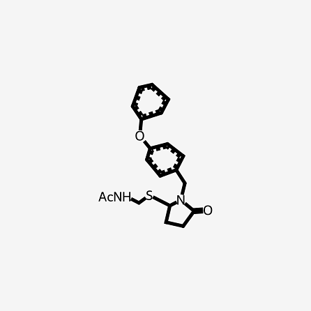 CC(=O)NCSC1CCC(=O)N1Cc1ccc(Oc2ccccc2)cc1